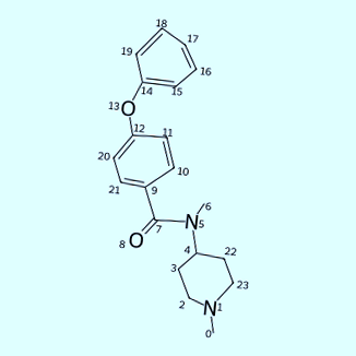 CN1CCC(N(C)C(=O)c2ccc(Oc3ccccc3)cc2)CC1